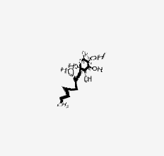 CCCCCC(O)C[C@@]1(O)O[C@@H](C)[C@@H](O)[C@@H](O)[C@@H]1O